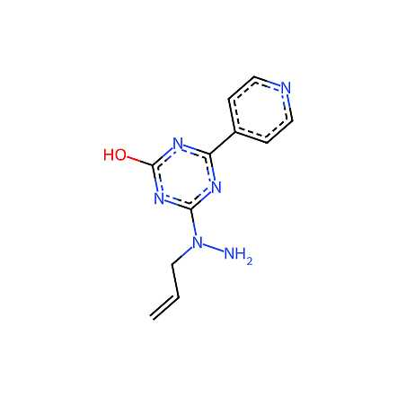 C=CCN(N)c1nc(O)nc(-c2ccncc2)n1